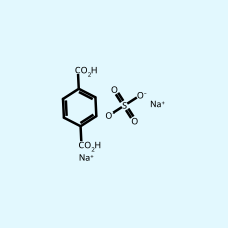 O=C(O)c1ccc(C(=O)O)cc1.O=S(=O)([O-])[O-].[Na+].[Na+]